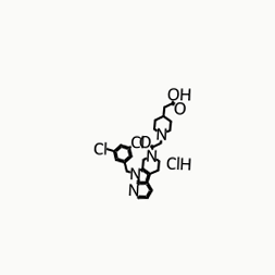 Cl.O=C(O)CC1CCN(CC(=O)N2CCc3c(n(Cc4cc(Cl)cc(Cl)c4)c4ncccc34)C2)CC1